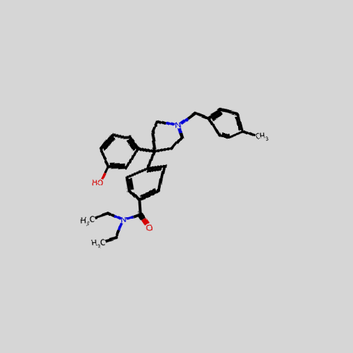 CCN(CC)C(=O)c1ccc(C2(c3cccc(O)c3)CCN(Cc3ccc(C)cc3)CC2)cc1